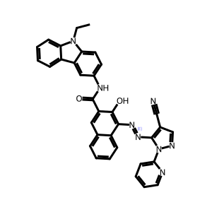 CCn1c2ccccc2c2cc(NC(=O)c3cc4ccccc4c(/N=N/c4c(C#N)cnn4-c4ccccn4)c3O)ccc21